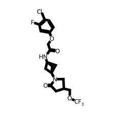 O=C(COc1ccc(Cl)c(F)c1)NC12CC(N3CC(COC(F)(F)F)CC3=O)(C1)C2